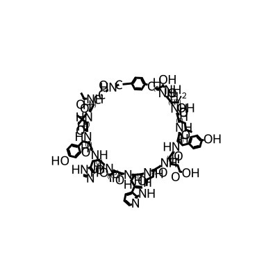 CCC[C@@H]1NC(=O)[C@H](Cc2c[nH]c3ncccc23)NC(=O)[C@H]([C@@H](C)O)NC(=O)[C@H](Cc2cnc[nH]2)NC(=O)[C@H](Cc2ccc(O)cc2)NC(=O)[C@H](C(C)(C)C)NC(=O)[C@@H](NC(C)=O)CCC(=O)NCc2ccc(cc2)C[C@@H](C(N)O)NC(=O)[C@H]([C@@H](C)O)NC(=O)[C@H](CCC)NC(=O)[C@H](Cc2ccc(O)cc2)NC(=O)[C@H](CCC(=O)O)NC1=O